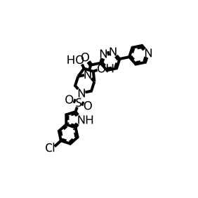 O=C(c1ccc(-c2ccncc2)nn1)N1C2CN(S(=O)(=O)c3cc4cc(Cl)ccc4[nH]3)CC1C(O)C2O